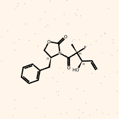 C=C[C@@H](O)[C@@](C)(F)C(=O)N1C(=O)OC[C@@H]1Cc1ccccc1